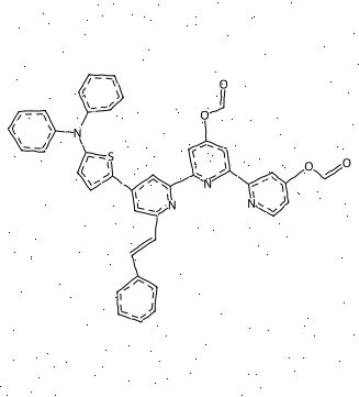 O=COc1ccnc(-c2cc(OC=O)cc(-c3cc(-c4ccc(N(c5ccccc5)c5ccccc5)s4)cc(/C=C/c4ccccc4)n3)n2)c1